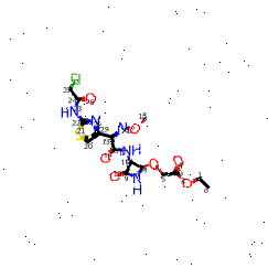 CCOC(=O)CO[C@H]1NC(=O)[C@H]1NC(=O)C(=NOC)c1csc(NC(=O)CCl)n1